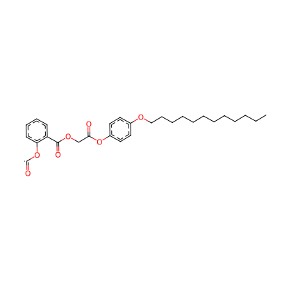 CCCCCCCCCCCCOc1ccc(OC(=O)COC(=O)c2ccccc2O[C]=O)cc1